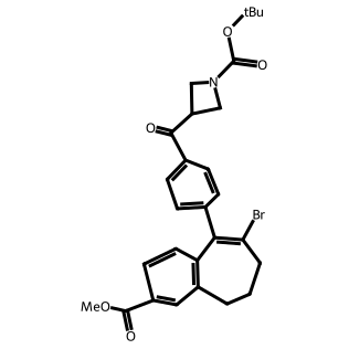 COC(=O)c1ccc2c(c1)CCCC(Br)=C2c1ccc(C(=O)C2CN(C(=O)OC(C)(C)C)C2)cc1